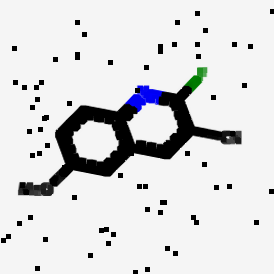 COc1ccc2nc(F)c(C#N)cc2c1